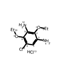 CCOc1c(N)cc(Cl)c(OCC)c1N.Cl